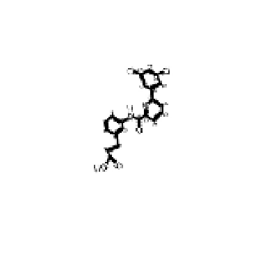 O=C(O)/C=C/c1cccc(NC(=O)c2cccc(-c3cc(Cl)cc(Cl)c3)n2)c1